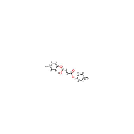 Cc1ccc(OC(=O)C=CC(=O)Oc2ccc(C)cc2)cc1